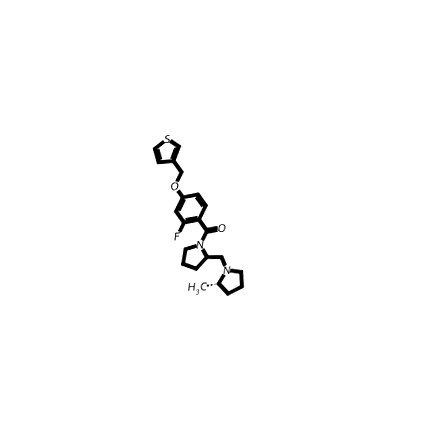 C[C@H]1CCCN1CC1CCCN1C(=O)c1ccc(OCc2ccsc2)cc1F